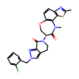 Cc1nc2ccc3c(c2s1)N(C)C(=O)[C@@H](N1CCc2cn(Cc4ccccc4F)nc2C1=O)CO3